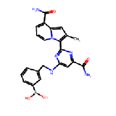 Cc1cc2c(C(N)=O)cccn2c1-c1nc(NCc2cccc(B(O)O)c2)cc(C(N)=O)n1